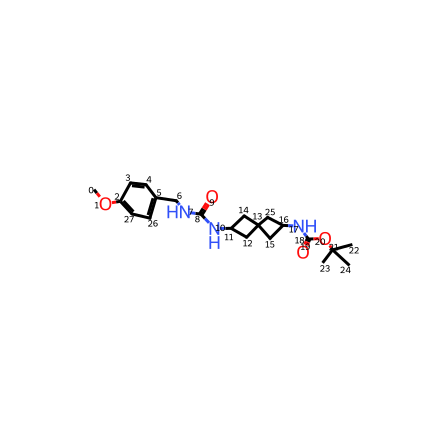 COc1ccc(CNC(=O)NC2CC3(C2)CC(NC(=O)OC(C)(C)C)C3)cc1